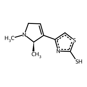 C[C@@H]1C(c2csc(S)n2)=CCN1C